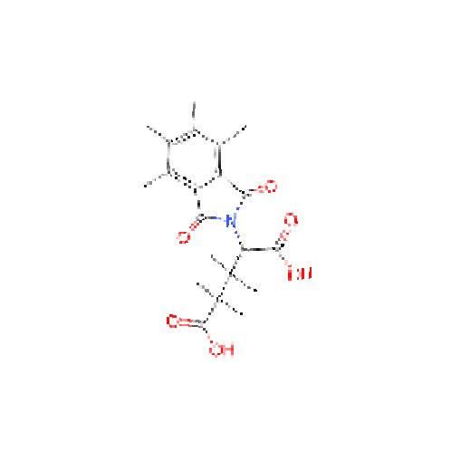 Cc1c(C)c(C)c2c(c1C)C(=O)N(C(C(=O)O)C(C)(C)C(C)(C)C(=O)O)C2=O